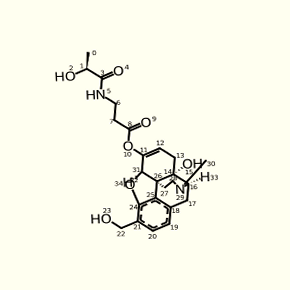 C[C@H](O)C(=O)NCCC(=O)OC1=CC[C@@]2(O)[C@H]3Cc4ccc(CO)c5c4[C@@]2(CCN3C)[C@H]1O5